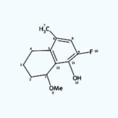 COC1CCCc2c(C)cc(F)c(O)c21